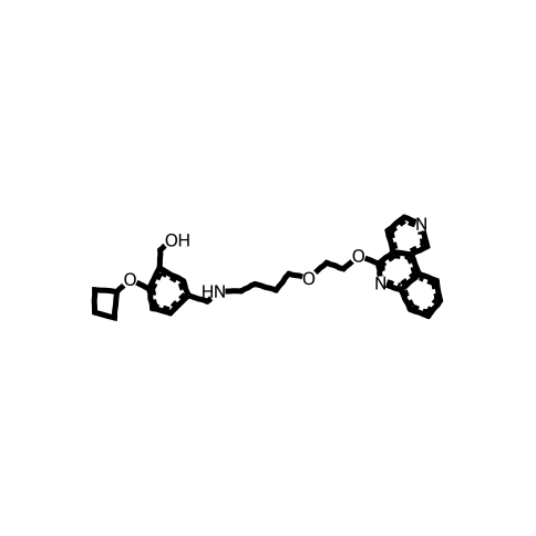 OCc1cc(CNCCCCOCCOc2nc3ccccc3c3cnccc23)ccc1OC1CCC1